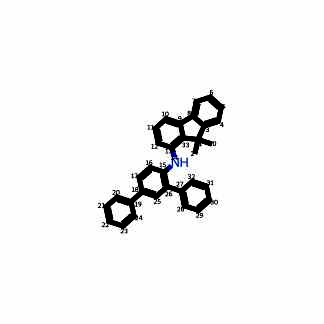 CC1(C)c2ccccc2-c2cccc(Nc3ccc(-c4ccccc4)cc3-c3ccccc3)c21